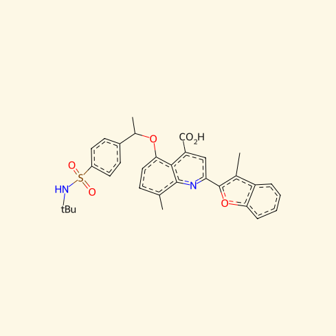 Cc1c(-c2cc(C(=O)O)c3c(OC(C)c4ccc(S(=O)(=O)NC(C)(C)C)cc4)ccc(C)c3n2)oc2ccccc12